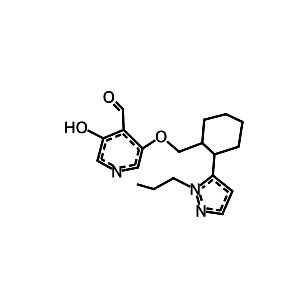 CCCn1nccc1C1CCCCC1COc1cncc(O)c1C=O